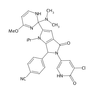 COC1=NC(c2cc3c(n2C(C)C)C(c2ccc(C#N)cc2)N(c2c[nH]c(=O)c(Cl)c2)C3=O)(N(C)C)NC=C1